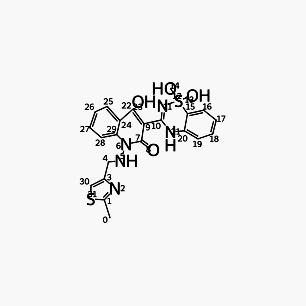 Cc1nc(CNn2c(=O)c(C3=NS(O)(O)c4ccccc4N3)c(O)c3ccccc32)cs1